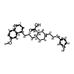 COc1ccc2nccc(CCC[C@@H]3CCN(CCSc4ccn(C)c4)C[C@@H]3C(=O)O)c2c1